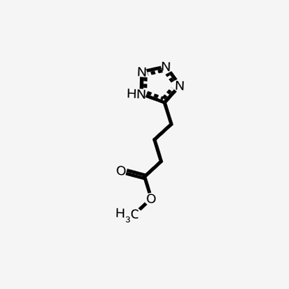 COC(=O)CCCc1nnn[nH]1